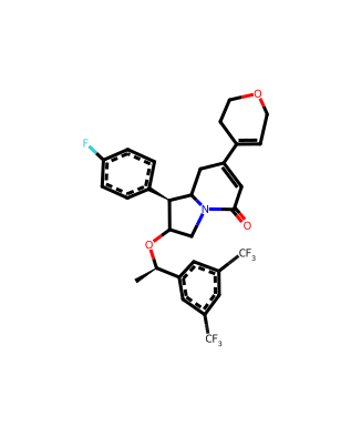 C[C@@H](OC1CN2C(=O)C=C(C3=CCOCC3)CC2[C@@H]1c1ccc(F)cc1)c1cc(C(F)(F)F)cc(C(F)(F)F)c1